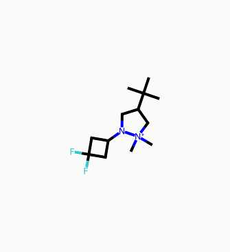 CC(C)(C)C1CN(C2CC(F)(F)C2)[N+](C)(C)C1